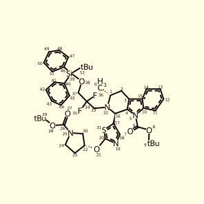 C[C@@H]1Cc2c(n(C(=O)OC(C)(C)C)c3ccccc23)[C@@H](c2cnc(O[C@@H]3CCN(C(=O)OC(C)(C)C)C3)s2)N1CC(F)(F)CO[Si](c1ccccc1)(c1ccccc1)C(C)(C)C